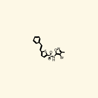 Cc1noc(NS(=O)(=O)c2ccc(/C=C/c3ccccc3)s2)c1Br